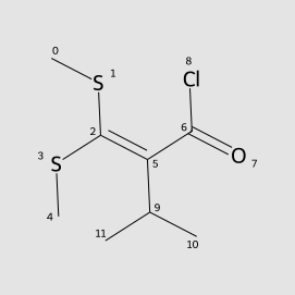 CSC(SC)=C(C(=O)Cl)C(C)C